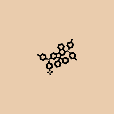 Cc1ccc(N(c2ccc([Si](C)(C)C)cc2)c2ccc3c(c2)C(c2ccccc2)(c2ccccc2)c2cc(N(c4ccc(C)cc4)c4ccc(C)cc4)c4ccccc4c2-3)cc1